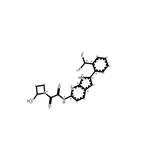 CC1CCN1C(=O)C(=O)Nc1ccc2cc(-c3ccccc3C(F)F)[nH]c2n1